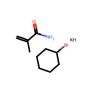 BrC1CCCCC1.C=C(C)C(N)=O.[KH]